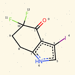 O=C1c2c(I)c[nH]c2CCC1(F)F